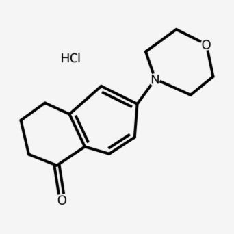 Cl.O=C1CCCc2cc(N3CCOCC3)ccc21